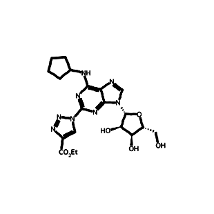 CCOC(=O)c1cn(-c2nc(NC3CCCC3)c3ncn([C@@H]4O[C@H](CO)[C@@H](O)[C@H]4O)c3n2)nn1